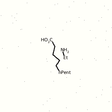 CCCCCCCCCC(=O)O.CCN